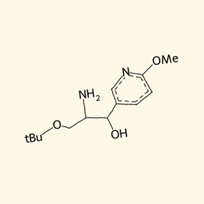 COc1ccc(C(O)C(N)COC(C)(C)C)cn1